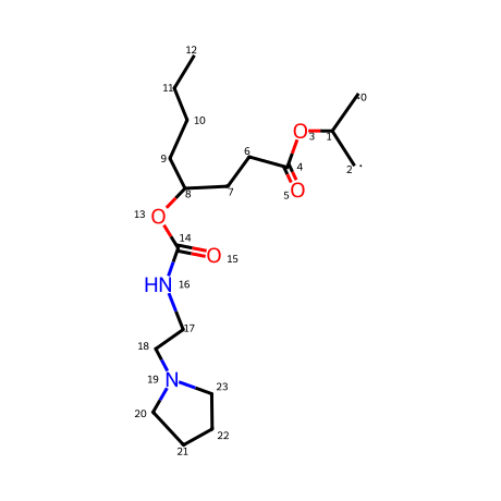 [CH2]C([CH2])OC(=O)CCC(CCCC)OC(=O)NCCN1CCCC1